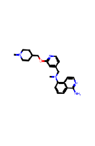 CN1CCC(COc2cc(CN(C)c3cccc4c(N)nccc34)ccn2)CC1